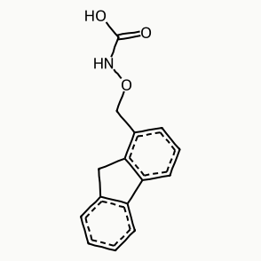 O=C(O)NOCc1cccc2c1Cc1ccccc1-2